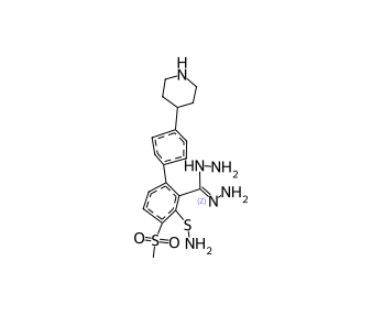 CS(=O)(=O)c1ccc(-c2ccc(C3CCNCC3)cc2)c(/C(=N/N)NN)c1SN